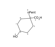 CCCCCC1(C(=O)O)CCC(O)CC1